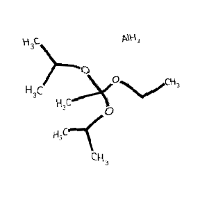 CCOC(C)(OC(C)C)OC(C)C.[AlH3]